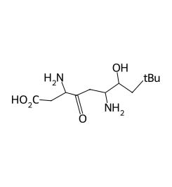 CC(C)(C)CC(O)C(N)CC(=O)C(N)CC(=O)O